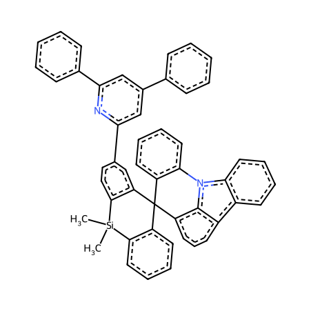 C[Si]1(C)c2ccccc2C2(c3ccccc3-n3c4ccccc4c4cccc2c43)c2cc(-c3cc(-c4ccccc4)cc(-c4ccccc4)n3)ccc21